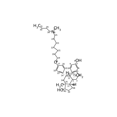 C=C[C@@]12CCc3cc(O)ccc3[C@H]1[C@@H](c1ccc(OCCCCCCCN(C)CCCC)cc1)C[C@@]1(C)[C@H]2CC[C@@H]1O